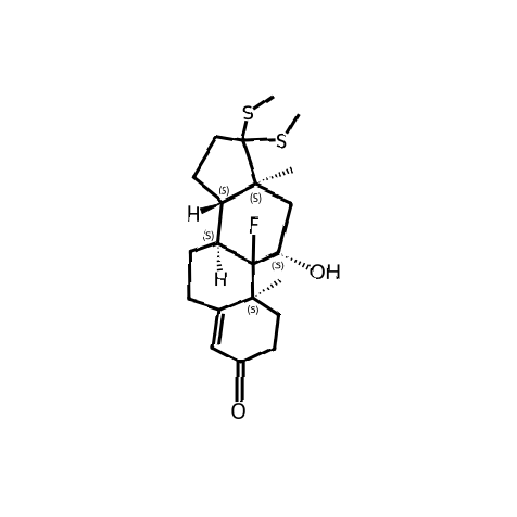 CSC1(SC)CC[C@H]2[C@@H]3CCC4=CC(=O)CC[C@]4(C)C3(F)[C@@H](O)C[C@@]21C